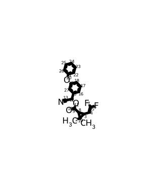 CC1(C)C(C=C(F)F)C1C(=O)OC(C#N)c1cccc(Oc2ccccc2)c1